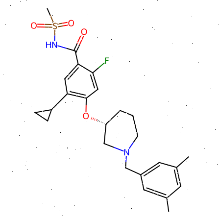 Cc1cc(C)cc(CN2CCC[C@@H](Oc3cc(F)c(C(=O)NS(C)(=O)=O)cc3C3CC3)C2)c1